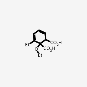 CCOC1(C(=O)O)C(CC)=CC=CC1C(=O)O